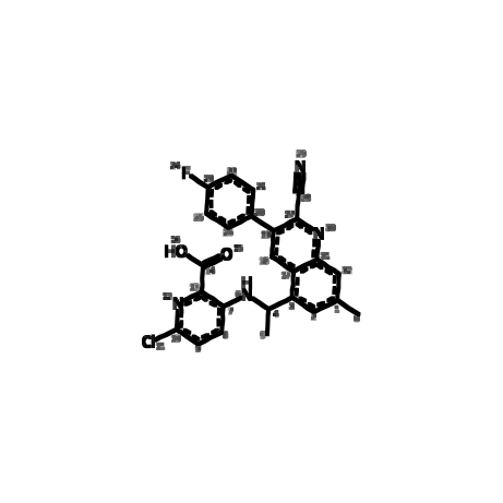 Cc1cc(C(C)Nc2ccc(Cl)nc2C(=O)O)c2cc(-c3ccc(F)cc3)c(C#N)nc2c1